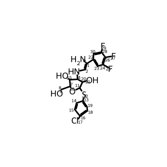 N/C(=C\NC1C(O)C(CO)OC(Sc2ccc(Cl)cc2)C1O)c1cc(F)c(F)c(F)c1